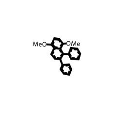 COc1ccc(OC)c2c(-c3ccccc3)c(-c3ccccc3)ccc12